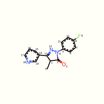 CC1C(=O)N(c2ccc(F)cc2)N=C1c1cccnc1